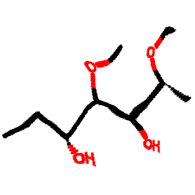 CC[C@@H](O)C(OC)C(O)[C@@H](C)OC